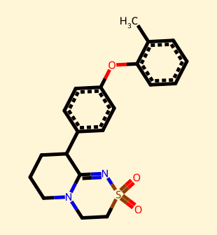 Cc1ccccc1Oc1ccc(C2CCCN3CCS(=O)(=O)N=C23)cc1